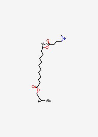 CCCCCCCCCC(CCCCCCCCCCC(=O)OCC1CC1CCCC)OC(=O)CCCN(C)C